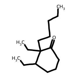 CCCCCC1(CC)C(=O)CCCC1CC